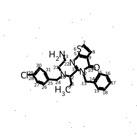 CCC(c1nc2sccc2c(=O)n1Cc1ccccc1)N(CCN)Cc1ccc(Cl)cc1